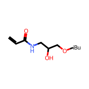 [CH2]CC(C)OCC(O)CNC(=O)C=C